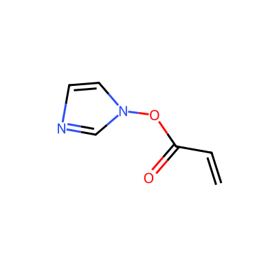 C=CC(=O)On1ccnc1